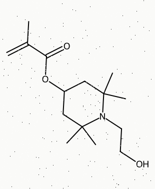 C=C(C)C(=O)OC1CC(C)(C)N(CCO)C(C)(C)C1